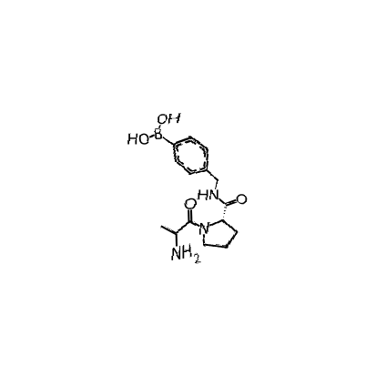 CC(N)C(=O)N1CCC[C@H]1C(=O)NCc1ccc(B(O)O)cc1